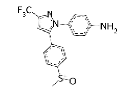 C[S+]([O-])c1ccc(-c2cc(C(F)(F)F)nn2-c2ccc(N)cc2)cc1